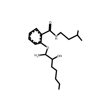 CCCCCC(O)C(N)Oc1ccccc1C(=O)NCCC(C)C